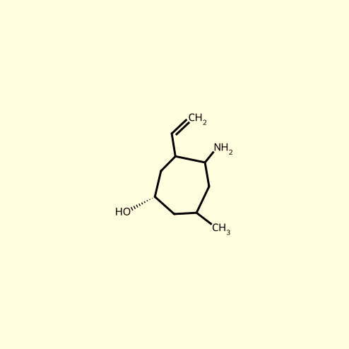 C=CC1C[C@@H](O)CC(C)CC1N